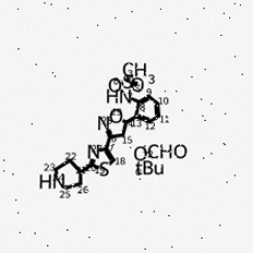 CC(C)(C)OC=O.CS(=O)(=O)Nc1ccccc1C1CC(c2csc(C3CCNCC3)n2)=NO1